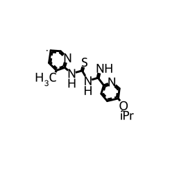 Cc1c[c]cnc1NC(=S)NC(=N)c1ccc(OC(C)C)cn1